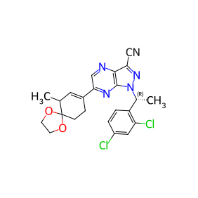 CC1C=C(c2cnc3c(C#N)nn([C@H](C)c4ccc(Cl)cc4Cl)c3n2)CCC12OCCO2